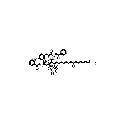 CCCCCCCC(=O)CCCCCC/C=C/[C@H](C(=O)N[C@@H](Cc1ccc(O)cc1)C(=O)OCC(=O)c1ccccc1)[C@@](O)(CC(=O)OCC(=O)c1ccccc1)C(=O)OC(C)(C)C